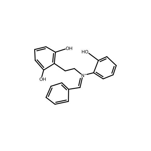 Oc1ccccc1[N+](=Cc1ccccc1)CCc1c(O)cccc1O